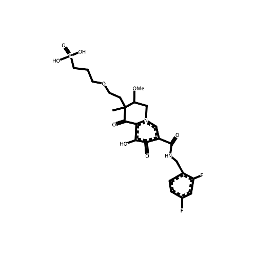 COC1Cn2cc(C(=O)NCc3ccc(F)cc3F)c(=O)c(O)c2C(=O)C1(C)CCOCCCP(=O)(O)O